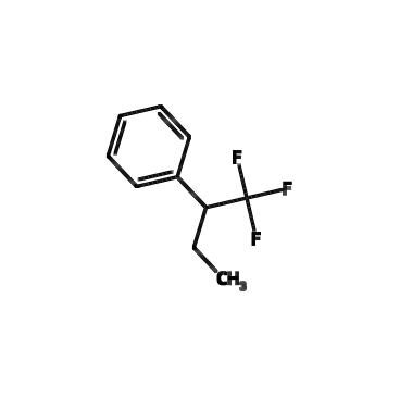 CCC(c1ccccc1)C(F)(F)F